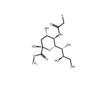 COC(=O)[C@]1(O)C[C@H](O)[C@@H](NC(=O)CF)[C@H]([C@H](O)[C@H](O)CO)O1